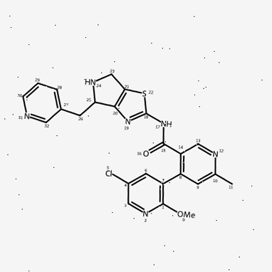 COc1ncc(Cl)cc1-c1cc(C)ncc1C(=O)Nc1nc2c(s1)CNC2Cc1cccnc1